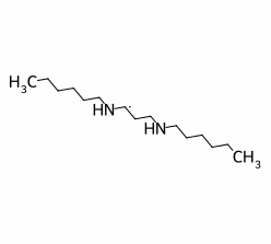 CCCCCCN[CH]CCNCCCCCC